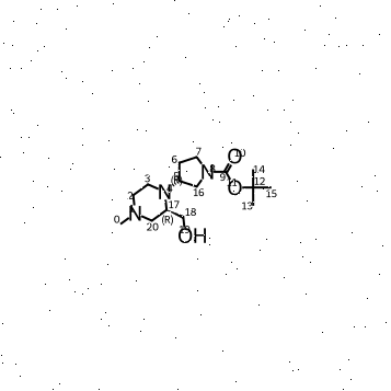 CN1CCN([C@@H]2CCN(C(=O)OC(C)(C)C)C2)[C@@H](CO)C1